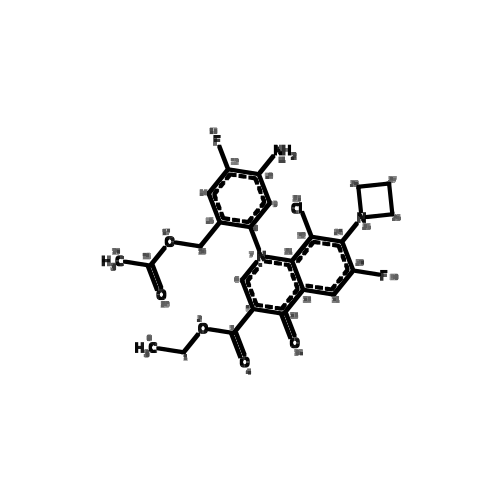 CCOC(=O)c1cn(-c2cc(N)c(F)cc2COC(C)=O)c2c(Cl)c(N3CCC3)c(F)cc2c1=O